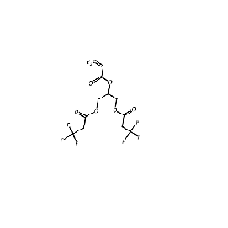 C=CC(=O)OC(COC(=O)CC(F)(F)F)COC(=O)CC(F)(F)F